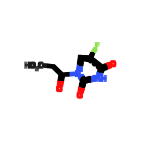 O=C(O)CC(=O)n1cc(F)c(=O)[nH]c1=O